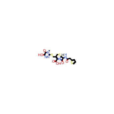 Cn1c(SCC2=C(C(=O)O)N3C(=O)C(NC(=O)Cc4cccs4)[C@H]3SC2)nnc(O)c1=O